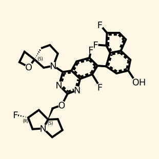 Oc1cc(-c2c(F)cc3c(N4CCC[C@]5(CCO5)C4)nc(OC[C@@]45CCCN4C[C@H](F)C5)nc3c2F)c2c(F)c(F)ccc2c1